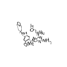 CCCCN(CCO)c1nc(N)nc2cn(Cc3ccc(CNC4(C)CCOCC4)cc3OC)nc12